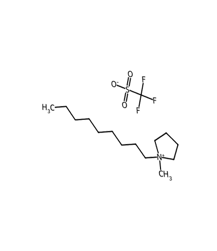 CCCCCCCCC[N+]1(C)CCCC1.O=S(=O)([O-])C(F)(F)F